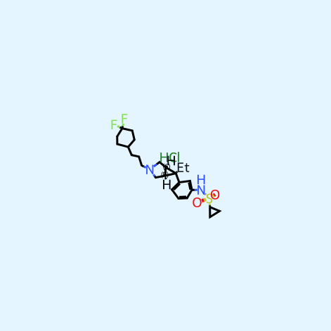 CCC1(c2cccc(NS(=O)(=O)C3CC3)c2)[C@@H]2CN(CCCC3CCC(F)(F)CC3)C[C@@H]21.Cl